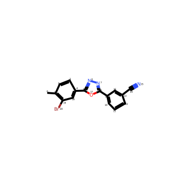 Cc1ccc(-c2nnc(-c3cccc(C#N)c3)o2)cc1Br